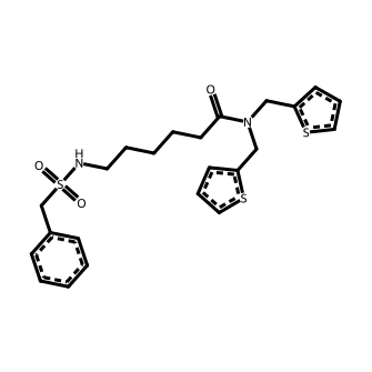 O=C(CCCCCNS(=O)(=O)Cc1ccccc1)N(Cc1cccs1)Cc1cccs1